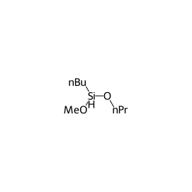 CCCC[SiH](OC)OCCC